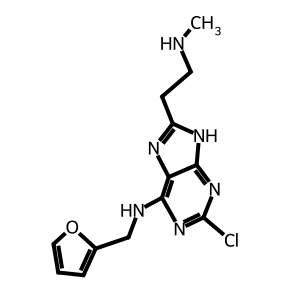 CNCCc1nc2c(NCc3ccco3)nc(Cl)nc2[nH]1